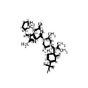 Cc1nc2c(N3C[C@@H](C)N([C@@H](c4ccc(C(F)(F)F)cc4F)C(C)C)C[C@@H]3C)nc(=O)n(C)c2n1C[C@@H]1CCCO1